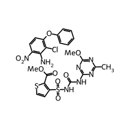 COC(=O)c1sccc1S(=O)(=O)NC(=O)Nc1nc(C)nc(OC)n1.Nc1c([N+](=O)[O-])ccc(Oc2ccccc2)c1Cl